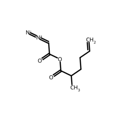 C=CCCC(C)C(=O)OC(=O)C=[N+]=[N-]